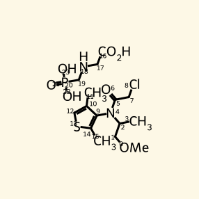 COCC(C)N(C(=O)CCl)c1c(C)csc1C.O=C(O)CNCP(=O)(O)O